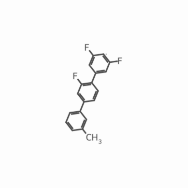 Cc1cccc(-c2ccc(-c3cc(F)[c]c(F)c3)c(F)c2)c1